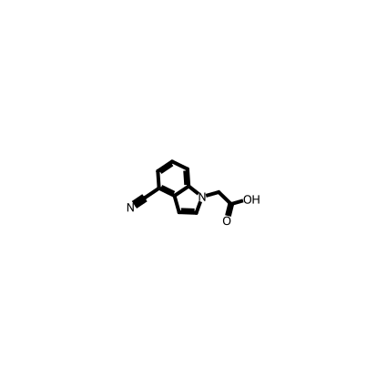 N#Cc1cccc2c1ccn2CC(=O)O